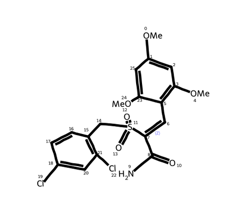 COc1cc(OC)c(/C=C(/C(N)=O)S(=O)(=O)Cc2ccc(Cl)cc2Cl)c(OC)c1